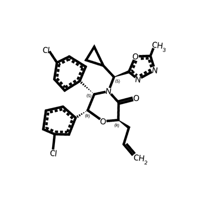 C=CC[C@H]1O[C@H](c2cccc(Cl)c2)[C@H](c2ccc(Cl)cc2)N([C@H](c2nnc(C)o2)C2CC2)C1=O